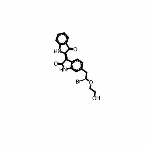 O=C1Nc2cc(C[C@H](Br)OCCO)ccc2/C1=C1/Nc2ccccc2C1=O